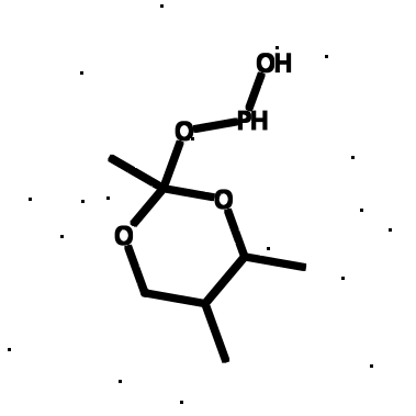 CC1COC(C)(OPO)OC1C